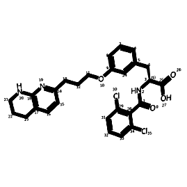 O=C(N[C@@H](Cc1cccc(OCCCc2ccc3c(n2)NCCC3)c1)C(=O)O)c1c(Cl)cccc1Cl